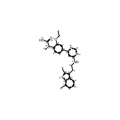 CCOc1cc(-c2cc(NCCc3c(C)sc4c(C)cccc34)ncn2)ccc1[C@@H](C)C(=O)O